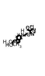 CC(C)(O)Cn1ccc2cc(NCCOc3ncnc(Cl)c3C=O)ccc21